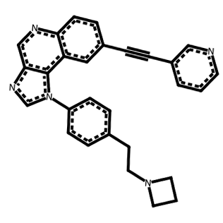 C(#Cc1ccc2ncc3ncn(-c4ccc(CCN5CCC5)cc4)c3c2c1)c1cccnc1